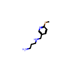 CSc1ccc(CNCCCN)cn1